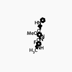 COc1cc2c(Oc3ccc4[nH]c(C)cc4c3F)ncnc2cc1OCC1CC(Nc2ccccc2)C1